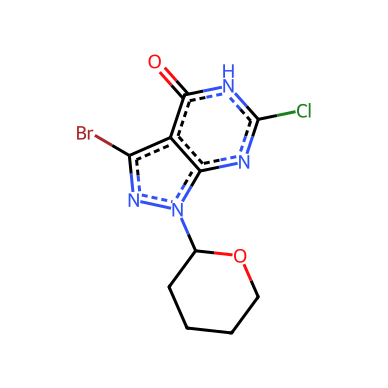 O=c1[nH]c(Cl)nc2c1c(Br)nn2C1CCCCO1